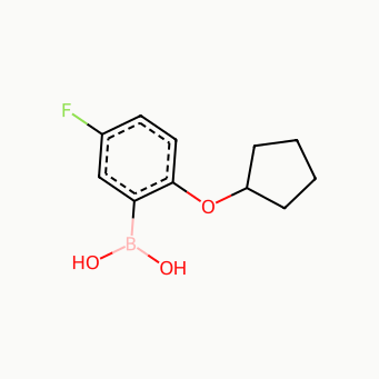 OB(O)c1cc(F)ccc1OC1CCCC1